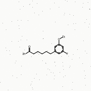 CCOc1cc(F)cc(CCCCCC(=O)C(C)C)c1